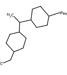 CCCCCC1CCC(C(C)C2CCC(CC#N)CC2)CC1